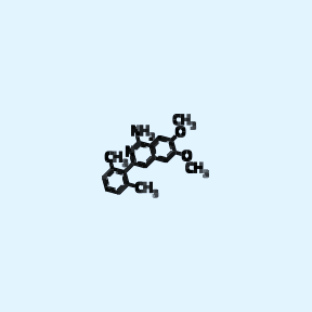 COc1cc2cc(-c3c(C)cccc3C)nc(N)c2cc1OC